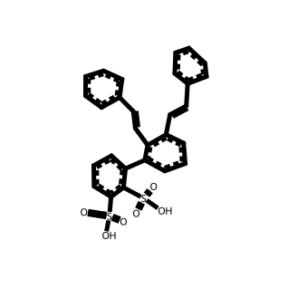 O=S(=O)(O)c1cccc(-c2cccc(C=Cc3ccccc3)c2C=Cc2ccccc2)c1S(=O)(=O)O